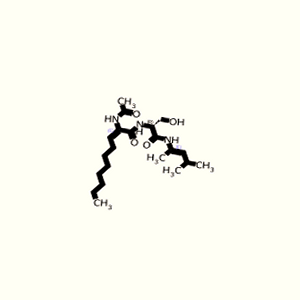 CCCCCCC/C=C(/NC(C)=O)C(=O)N[C@H](CO)C(=O)N/C(C)=C/C(C)C